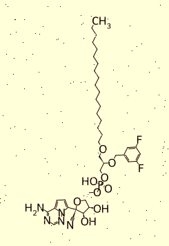 CCCCCCCCCCCCCCCCCCOC[C@H](COP(=O)(O)OC[C@H]1O[C@@](C#N)(c2ccc3c(N)ncnn23)[C@H](O)[C@@H]1O)OCc1cc(F)cc(F)c1